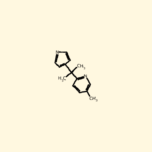 Cc1ccc(C(C)(C)c2ccncc2)nc1